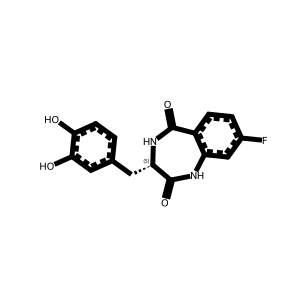 O=C1N[C@@H](Cc2ccc(O)c(O)c2)C(=O)Nc2cc(F)ccc21